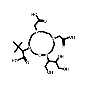 CC(C)(C)C(C(=O)O)N1CCN(CC(=O)O)CCN(CC(=O)O)CCN(C(CO)C(O)CO)CC1